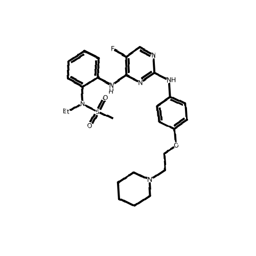 CCN(c1ccccc1Nc1nc(Nc2ccc(OCCN3CCCCC3)cc2)ncc1F)S(C)(=O)=O